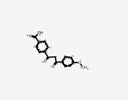 COc1ccc(C(=O)CC(=O)c2ccc(C(=O)O)cc2)cc1